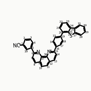 N#Cc1cccc(-c2ccc3ccc4ccc(-c5ccc(-c6cccc7c6sc6ccccc67)cc5)nc4c3n2)c1